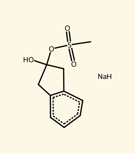 CS(=O)(=O)OC1(O)Cc2ccccc2C1.[NaH]